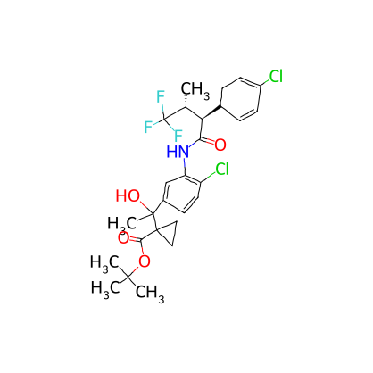 C[C@H]([C@H](C(=O)Nc1cc(C(C)(O)C2(C(=O)OC(C)(C)C)CC2)ccc1Cl)C1C=CC(Cl)=CC1)C(F)(F)F